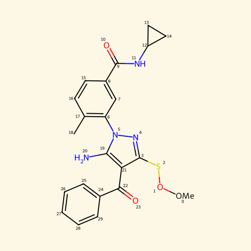 COOSc1nn(-c2cc(C(=O)NC3CC3)ccc2C)c(N)c1C(=O)c1ccccc1